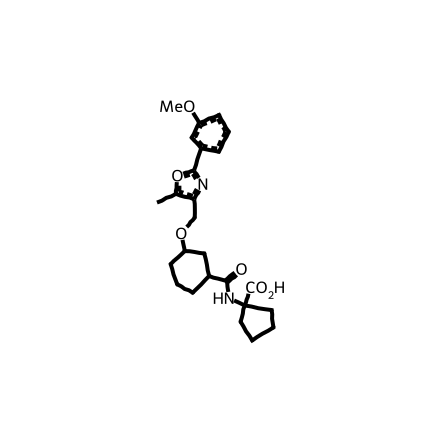 COc1cccc(-c2nc(COC3CCCC(C(=O)NC4(C(=O)O)CCCC4)C3)c(C)o2)c1